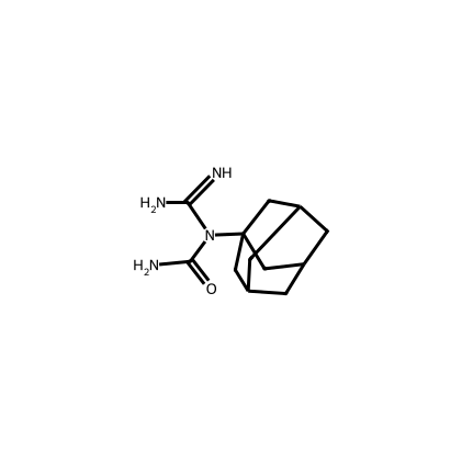 N=C(N)N(C(N)=O)C12CC3CC(CC(C3)C1)C2